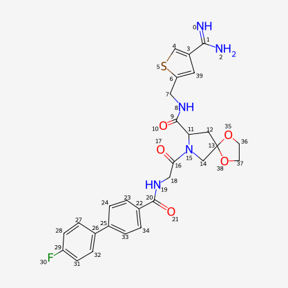 N=C(N)c1csc(CNC(=O)C2CC3(CN2C(=O)CNC(=O)c2ccc(-c4ccc(F)cc4)cc2)OCCO3)c1